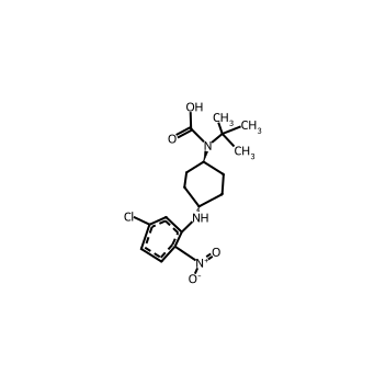 CC(C)(C)N(C(=O)O)[C@H]1CC[C@H](Nc2cc(Cl)ccc2[N+](=O)[O-])CC1